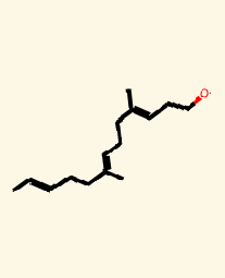 CC=CCCC(C)=CCCC(C)=CCC[O]